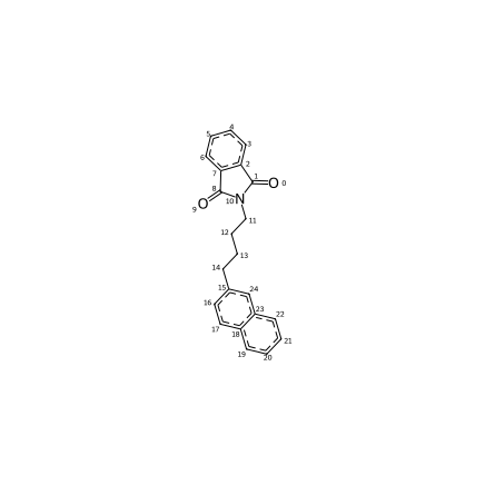 O=C1c2ccccc2C(=O)N1CCCCc1ccc2ccccc2c1